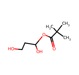 CC(C)(C)C(=O)OC(O)CCO